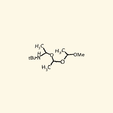 COC(C)OC(C)OC(C)NC(C)(C)C